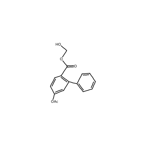 CC(=O)Oc1ccc(C(=O)OCO)c(-c2ccccc2)c1